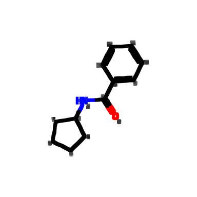 O=C(NC1CCCC1)c1ccccc1